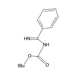 CC(C)(C)OC(=O)NC(=N)c1cc[c]cc1